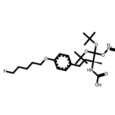 CC(C)(C)OC(O[PH2]=O)(OC(C)(C)C)[C@@](C)(CCc1ccc(OCCCCCF)cc1)NC(=O)O